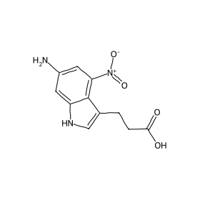 Nc1cc([N+](=O)[O-])c2c(CCC(=O)O)c[nH]c2c1